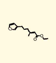 CCOC(=O)/C=C(\C)CCCc1ccoc1